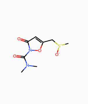 CN(C)C(=O)n1oc(C[S+](C)[O-])cc1=O